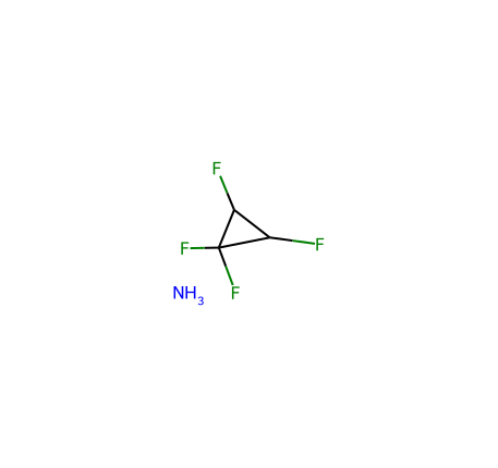 FC1C(F)C1(F)F.N